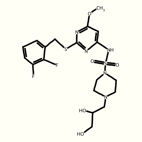 COc1cc(NS(=O)(=O)N2CCN(CC(O)CO)CC2)nc(SCc2cccc(F)c2F)n1